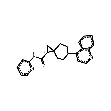 O=C(Nc1ccccn1)[C@H]1CC12CCC(c1ccnc3ccccc13)CC2